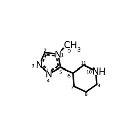 Cn1cnnc1C1CCCNC1